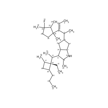 C/C=C(\C(C)C1CC2NC(C)C(C(C)[C@@]3(CC)C(C)CC3CCC)C2C1)C1(C)CCC(C)(F)C1C